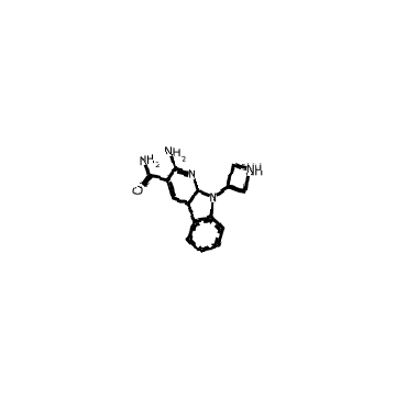 NC(=O)C1=CC2c3ccccc3N(C3CNC3)C2N=C1N